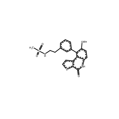 COc1ccc2[nH]c(=O)c3sccc3c2c1-c1cccc(CCNS(C)(=O)=O)c1